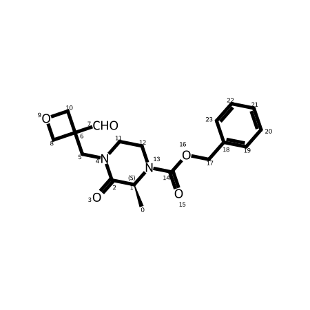 C[C@H]1C(=O)N(CC2(C=O)COC2)CCN1C(=O)OCc1ccccc1